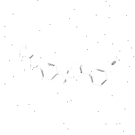 CNC(=O)Nc1ccc(S(=O)(=O)NC(=O)c2cccc(C#N)c2)cc1